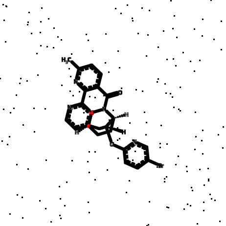 Cc1ccc(C(=O)N2C[C@@H]3CC[C@H]2[C@H](Oc2ccc(Br)cn2)C3)c(-c2ncccn2)n1